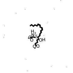 CCCCC/C=C\C\C=C/C=C/C=C/[C@@H](SC[C@H](N)C(=O)OC)[C@@H](O)CCCC(=O)OC